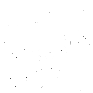 CC(C)NC(=O)Nc1ccc(Oc2nc3ccc(F)cc3s2)cc1